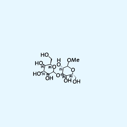 COC1O[C@H](CO)[C@@H](O)[C@H](OC2O[C@H](CO)[C@H](O)[C@H](O)[C@H]2O)[C@@H]1O